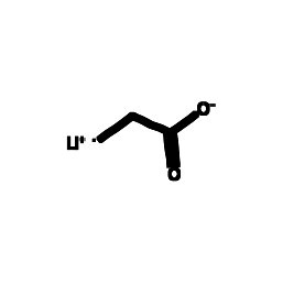 [CH2]CC(=O)[O-].[Li+]